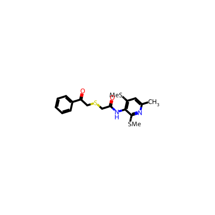 CSc1cc(C)nc(SC)c1NC(=O)CSCC(=O)c1ccccc1